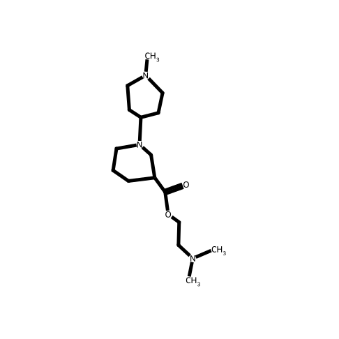 CN(C)CCOC(=O)C1CCCN(C2CCN(C)CC2)C1